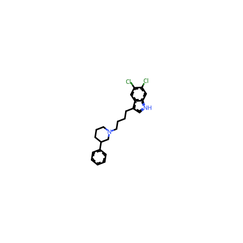 Clc1cc2[nH]cc(CCCCN3CCCC(c4ccccc4)C3)c2cc1Cl